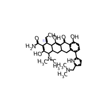 C/C=C1/C(C(N)=O)=C(O)C(N(C)C)C2CC3Cc4c(-c5ccc(CN(C)C)[nH]5)ccc(O)c4C(=O)C3=C(O)C12